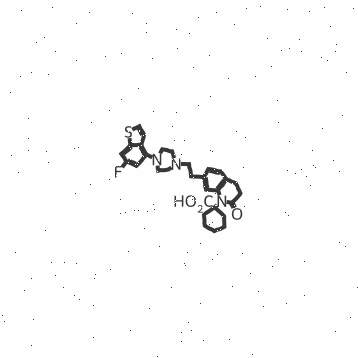 O=C1CCc2ccc(CCN3CCN(c4cc(F)cc5sccc45)CC3)cc2N1C1(C(=O)O)CCCCC1